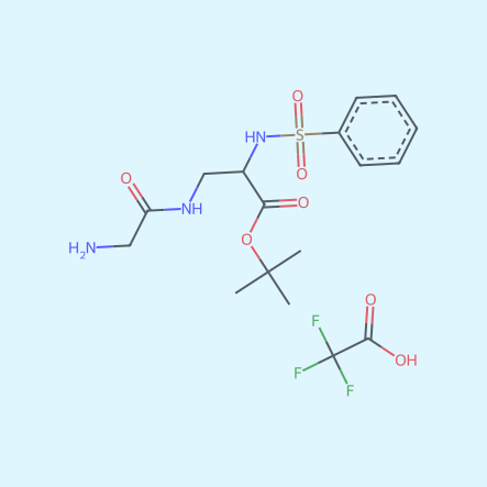 CC(C)(C)OC(=O)C(CNC(=O)CN)NS(=O)(=O)c1ccccc1.O=C(O)C(F)(F)F